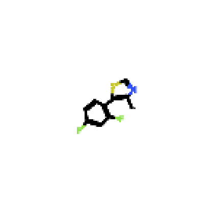 [CH2]c1ncsc1-c1ccc(F)cc1F